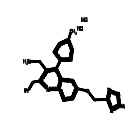 Cc1ccc(-c2c(CN)c(CC(C)C)nc3ccc(OCc4nn[nH]n4)cc23)cc1.Cl.Cl